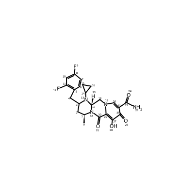 C[C@H]1CC(Cc2ccc(F)cc2F)N(C2CC2)[C@@H]2Cn3cc(C(N)=O)c(=O)c(O)c3C(=O)N12